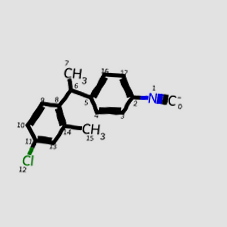 [C-]#[N+]c1ccc(C(C)c2ccc(Cl)cc2C)cc1